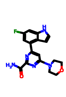 NC(=O)c1nc(-c2cc(F)cc3[nH]ccc23)cc(N2CCOCC2)n1